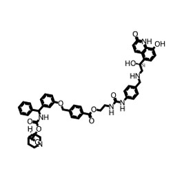 O=C(NCCOC(=O)c1ccc(COc2cccc(C(NC(=O)O[C@H]3CN4CCC3CC4)c3ccccc3)c2)cc1)Nc1ccc(CNC[C@@H](O)c2ccc(O)c3[nH]c(=O)ccc23)cc1